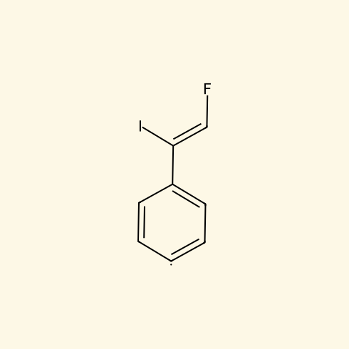 FC=C(I)c1cc[c]cc1